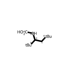 CC(C)(C)CC(BC(=O)O)C(C)(C)C